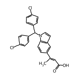 CC(=CC(=O)O)c1ccc2c(ccn2C(c2ccc(Cl)cc2)c2ccc(Cl)cc2)c1